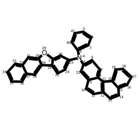 c1ccc(N(c2ccc3c(ccc4ccc5ccccc5c43)c2)c2ccc3c(c2)oc2cc4ccccc4cc23)cc1